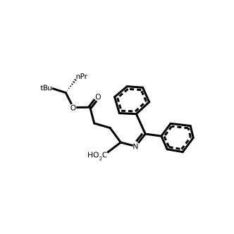 CCC[C@H](OC(=O)CCC(N=C(c1ccccc1)c1ccccc1)C(=O)O)C(C)(C)C